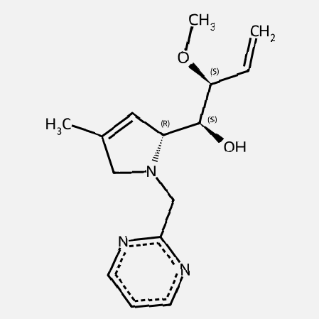 C=C[C@H](OC)[C@@H](O)[C@H]1C=C(C)CN1Cc1ncccn1